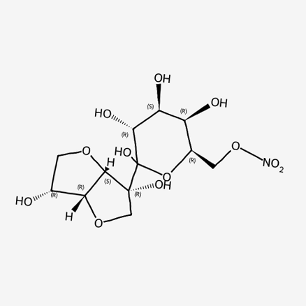 O=[N+]([O-])OC[C@H]1OC(O)([C@@]2(O)CO[C@@H]3[C@H](O)CO[C@@H]32)[C@H](O)[C@@H](O)[C@H]1O